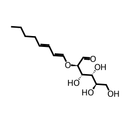 CCCCC=CC=CO[C@@H](C=O)[C@@H](O)[C@H](O)[C@H](O)CO